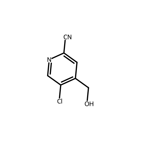 N#Cc1cc(CO)c(Cl)cn1